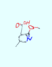 COc1ncc(C)cc1C(=O)O